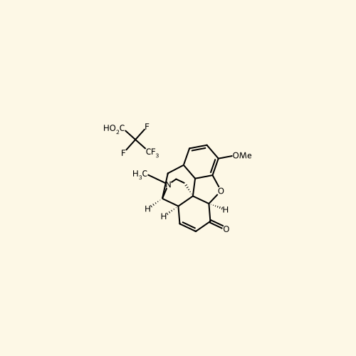 COC1=C2O[C@H]3C(=O)C=C[C@H]4[C@H]5CC(C=C1)C2[C@@]34CCN5C.O=C(O)C(F)(F)C(F)(F)F